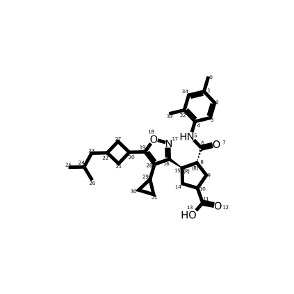 Cc1ccc(NC(=O)[C@@H]2CC(C(=O)O)C[C@H]2c2noc(C3CC(CC(C)C)C3)c2C2CC2)c(C)c1